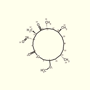 COC1COC(=O)C[C@H](N=O)[C@@H](C)C(=O)[C@H](C)C[C@@H](C)CCC[C@H](C)C1